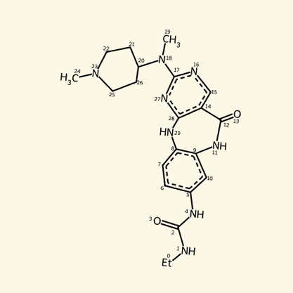 CCNC(=O)Nc1ccc2c(c1)NC(=O)c1cnc(N(C)C3CCN(C)CC3)nc1N2